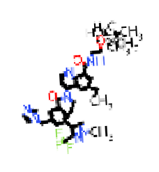 CCc1cc(C(=O)NCCO[Si](C)(C)C(C)(C)C)c2nccc(N3CCc4c(cc(Cn5ccnc5)cc4-c4cn(C)nc4C(F)(F)F)C3=O)c2c1